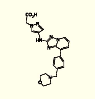 O=C(O)Cn1cc(Nc2nc3c(-c4ccc(CN5CCOCC5)cc4)cccn3n2)cn1